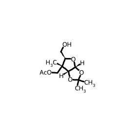 CC(=O)OC[C@]1(C)[C@@H](CO)O[C@@H]2OC(C)(C)O[C@@H]21